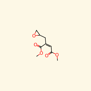 COC(=O)C=C(CC1CO1)C(=O)OC